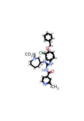 Cc1cc(C(=O)Nc2nc3ccc(OCc4ccccc4)c(Cl)c3n2C2CCCCN(C(=O)O)C2)ccn1